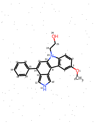 COc1ccc2c(c1)c1c3c[nH]cc3c(-c3ccccc3)cc1n2CCO